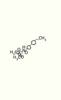 CCCc1ccc(-c2ccc(C(=O)NC(CS(C)(=O)=O)C(=O)OC)cc2)cc1